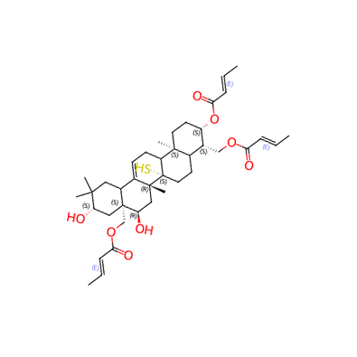 C/C=C/C(=O)OC[C@@H]1C2CC[C@]3(S)C(CC=C4C5CC(C)(C)[C@@H](O)C[C@]5(COC(=O)/C=C/C)[C@H](O)C[C@]43C)[C@@]2(C)CC[C@@H]1OC(=O)/C=C/C